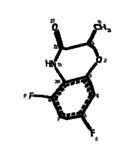 CC1Oc2cc(F)cc(F)c2NC1=O